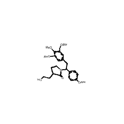 COc1ccc(C(Cc2cc(OC)c(OC)c(OC)c2)N2CCC(CCO)C2=O)cc1